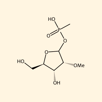 CO[C@H]1C(OP(C)(=O)O)O[C@H](CO)[C@H]1O